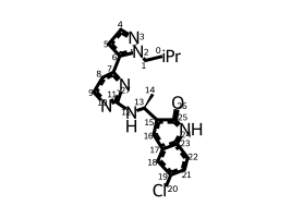 CC(C)Cn1nccc1-c1ccnc(N[C@@H](C)c2cc3cc(Cl)ccc3[nH]c2=O)n1